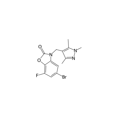 Cc1nn(C)c(C)c1Cn1c(=O)oc2c(F)cc(Br)cc21